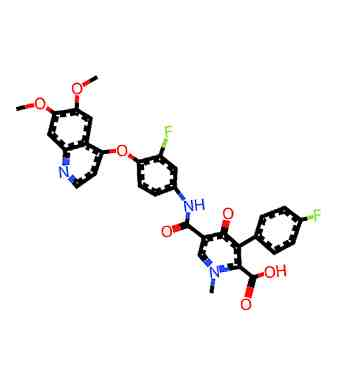 COc1cc2nccc(Oc3ccc(NC(=O)c4cn(C)c(C(=O)O)c(-c5ccc(F)cc5)c4=O)cc3F)c2cc1OC